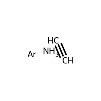 C#C.N.[Ar]